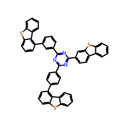 c1cc(-c2nc(-c3ccc(-c4cccc5sc6ccccc6c45)cc3)nc(-c3ccc4c(c3)sc3ccccc34)n2)cc(-c2cccc3sc4ccccc4c23)c1